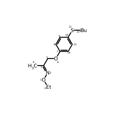 CCON=C(C)COc1ccc(SC(C)CC)cc1